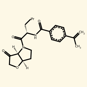 C=C(C)c1ccc(C(=O)N[C@@H](CC(C)C)C(=O)N2CC[C@H]3OCC(=O)[C@H]32)cc1